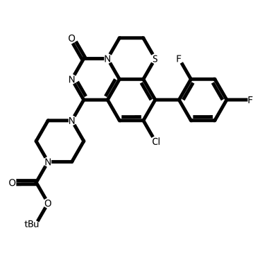 CC(C)(C)OC(=O)N1CCN(c2nc(=O)n3c4c(c(-c5ccc(F)cc5F)c(Cl)cc24)SCC3)CC1